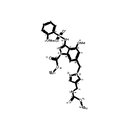 COc1ccccc1S(=O)(=O)Nc1nn(C(=O)OC(C)(C)C)c2cc(Cn3cc(CNC(=O)OC(C)(C)C)cn3)cc(OC)c12